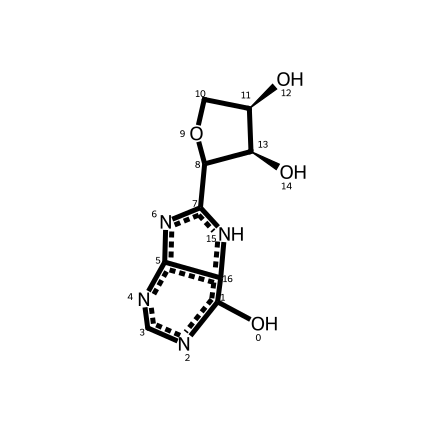 Oc1ncnc2nc(C3OC[C@@H](O)[C@H]3O)[nH]c12